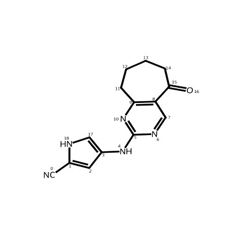 N#Cc1cc(Nc2ncc3c(n2)CCCCC3=O)c[nH]1